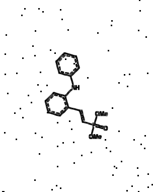 COP(=O)(C=Cc1ccccc1Nc1ccccc1)OC